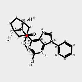 CC(C)(C)OC(=O)N1[C@@H]2CC[C@H]1CN(c1nc(Cl)nc3c1ncn3-c1ccccc1)C2